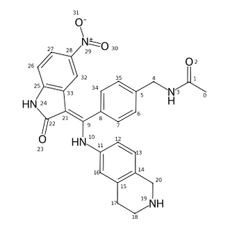 CC(=O)NCc1ccc(/C(Nc2ccc3c(c2)CCNC3)=C2/C(=O)Nc3ccc([N+](=O)[O-])cc32)cc1